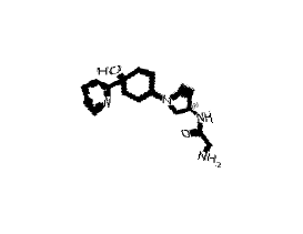 NCC(=O)N[C@@H]1CCN(C2CCC(O)(c3ccccn3)CC2)C1